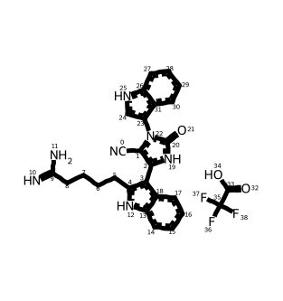 N#Cc1c(-c2c(CCCCC(=N)N)[nH]c3ccccc23)[nH]c(=O)n1-c1c[nH]c2ccccc12.O=C(O)C(F)(F)F